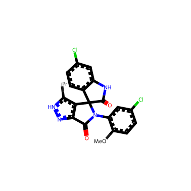 COc1ccc(Cl)cc1N1C(=O)c2n[nH]c(C(C)C)c2C12C(=O)Nc1cc(Cl)ccc12